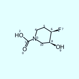 O=C(O)N1CC[C@@H](F)[C@@H](O)C1